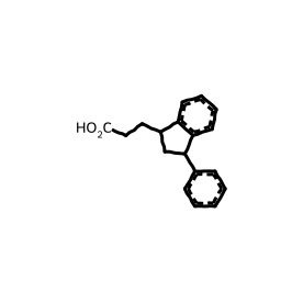 O=C(O)CCC1CC(c2ccccc2)c2ccccc21